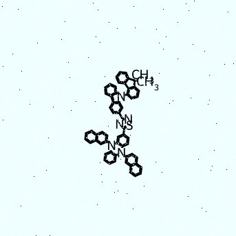 CC1(C)c2ccccc2-c2c(-n3c4ccccc4c4ccc(-c5nsc(-c6ccc7c(c6)N(c6ccc8ccccc8c6)c6ccccc6N7c6ccc7ccccc7c6)n5)cc43)cccc21